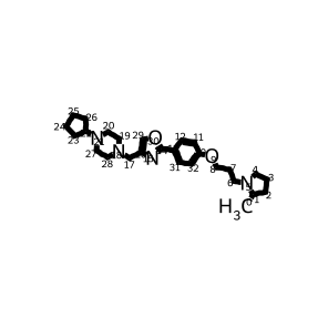 CC1CCCN1CCCOc1ccc(-c2nc(CN3CCN(C4CCCC4)CC3)co2)cc1